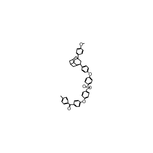 COc1ccc(C23CC4CC5CC(c6ccc(Oc7ccc(S(=O)(=O)c8ccc(Oc9ccc(C(=O)c%10ccc(C)cc%10)cc9)cc8)cc7)cc6)(C2)CC45C3)cc1